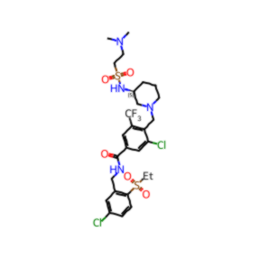 CCS(=O)(=O)c1ccc(Cl)cc1CNC(=O)c1cc(Cl)c(CN2CCC[C@H](NS(=O)(=O)CCN(C)C)C2)c(C(F)(F)F)c1